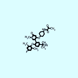 CC(=O)C(=O)NC1CCC(Oc2cc(=O)n(C)cc2-c2cc(C(C)(C)O)ccc2Oc2c(C)cc(F)cc2C)CC1